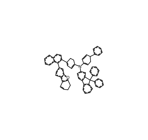 C1=Cc2c(oc3cc(-c4c(C5=CC=C(N(C6=CCC(c7ccccc7)C=C6)c6ccc7c(c6)C(c6ccccc6)(c6ccccc6)c6ccccc6-7)CC5)ccc5ccccc45)ccc23)CC1